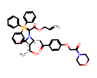 C=CCOC(=O)C(N1C(=O)[C@H]([C@@H](C)O)[C@H]1CC(=O)c1ccc(OCC(=O)N2CCOCC2)cc1)=P(c1ccccc1)(c1ccccc1)c1ccccc1